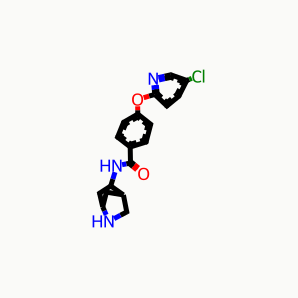 O=C(NC1CC2CC1CN2)c1ccc(Oc2ccc(Cl)cn2)cc1